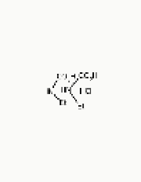 CCNC(=O)O.CCNC(=O)O.Cl